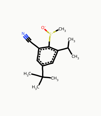 CC(C)c1cc(C(C)(C)C)cc(C#N)c1[S+](C)[O-]